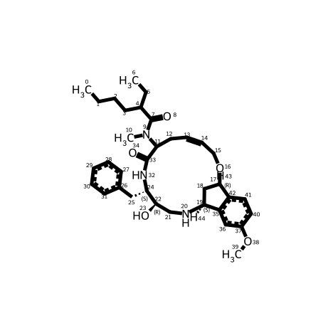 CCCCC(CC)C(=O)N(C)C1CC=CCO[C@@H]2C[C@H](NC[C@@H](O)[C@H](Cc3ccccc3)NC1=O)c1cc(OC)ccc12